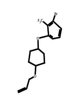 C=CCOC1CCC(Oc2cccc(Br)c2C(F)(F)F)CC1